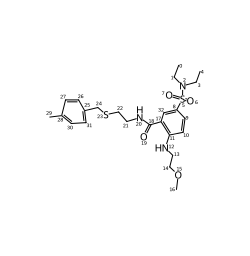 CCN(CC)S(=O)(=O)c1ccc(NCCOC)c(C(=O)NCCSCc2ccc(C)cc2)c1